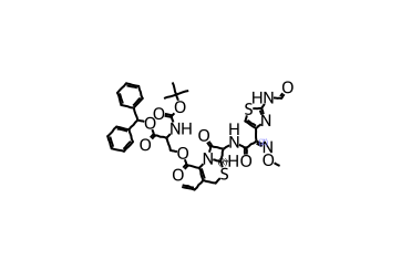 C=CC1=C(C(=O)OCC(NC(=O)OC(C)(C)C)C(=O)OC(c2ccccc2)c2ccccc2)N2C(=O)C(NC(=O)/C(=N\OC)c3csc(NC=O)n3)[C@H]2SC1